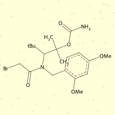 COc1ccc(CN(C(=O)CBr)C(C(C)(C)C)C(C)(C)OC(N)=O)c(OC)c1